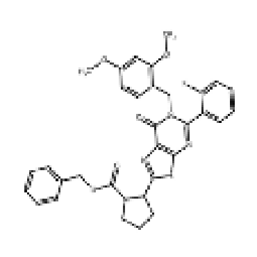 COc1ccc(Cn2c(-c3ccccc3F)nc3sc(C4CCCN4C(=O)OCc4ccccc4)nc3c2=O)c(OC)c1